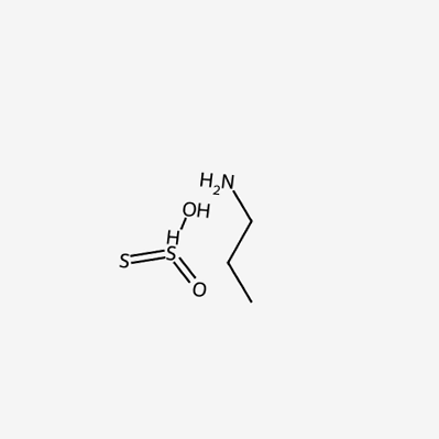 CCCN.O=[SH](O)=S